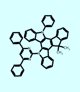 CC1(C)c2ccccc2-c2c1c1c3ccccc3n(-c3nc(-c4ccccc4)cc(-c4ccccc4)n3)c1c1c3ccccc3n(-c3ccccc3)c21